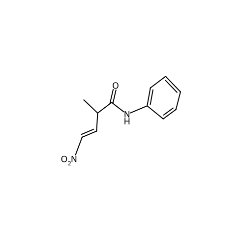 CC(C=C[N+](=O)[O-])C(=O)Nc1ccccc1